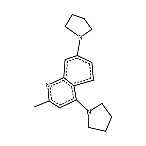 Cc1cc(N2CCCC2)c2ccc(N3CCCC3)cc2n1